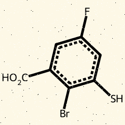 O=C(O)c1cc(F)cc(S)c1Br